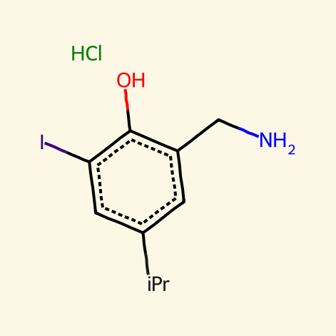 CC(C)c1cc(I)c(O)c(CN)c1.Cl